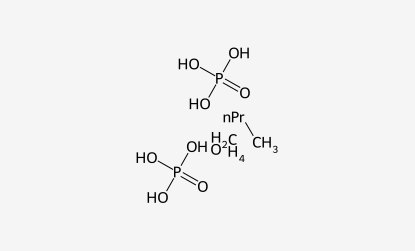 C.CCCC.O.O=P(O)(O)O.O=P(O)(O)O